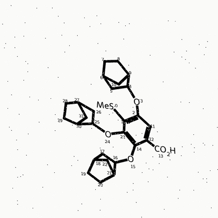 CSc1c(OC2CC3CCC2C3)cc(C(=O)O)c(OC2CC3CCC2C3)c1OC1CC2CCC1C2